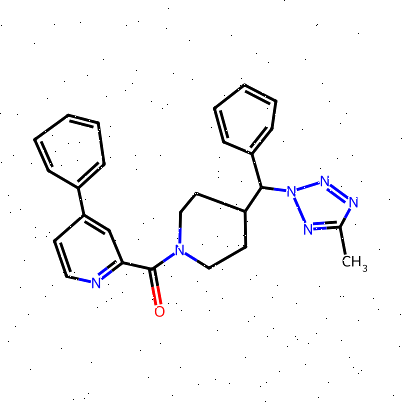 Cc1nnn(C(c2ccccc2)C2CCN(C(=O)c3cc(-c4ccccc4)ccn3)CC2)n1